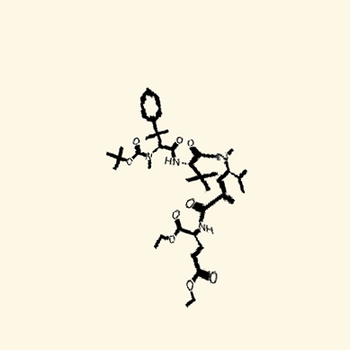 CCOC(=O)CC[C@H](NC(=O)/C(C)=C/[C@H](C(C)C)N(C)C(=O)[C@@H](NC(=O)[C@@H](N(C)C(=O)OC(C)(C)C)C(C)(C)c1ccccc1)C(C)(C)C)C(=O)OCC